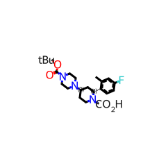 Cc1cc(F)ccc1[C@H]1C[C@H](N2CCN(C(=O)OC(C)(C)C)CC2)CCN1C(=O)O